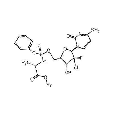 CC(C)OC(=O)[C@H](C)NP(=O)(OC[C@H]1O[C@@H](n2ccc(N)nc2=O)[C@](F)(Cl)[C@@H]1O)Oc1ccccc1